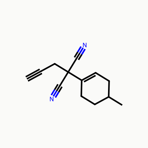 C#CCC(C#N)(C#N)C1=CCC(C)CC1